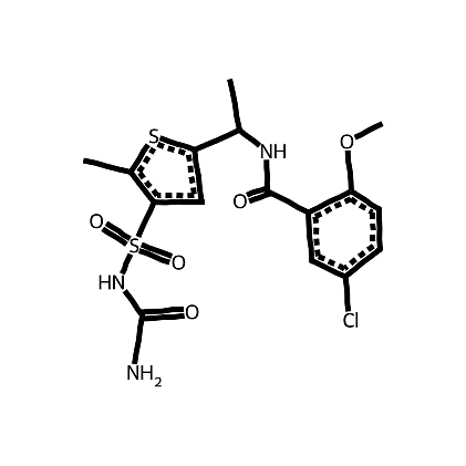 COc1ccc(Cl)cc1C(=O)NC(C)c1cc(S(=O)(=O)NC(N)=O)c(C)s1